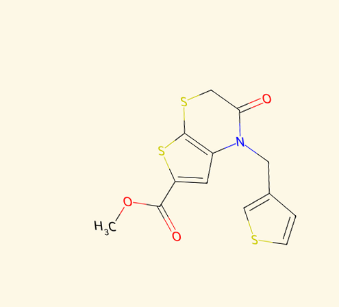 COC(=O)c1cc2c(s1)SCC(=O)N2Cc1ccsc1